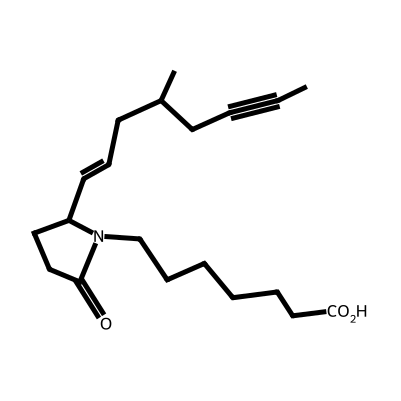 CC#CCC(C)C/C=C/C1CCC(=O)N1CCCCCCC(=O)O